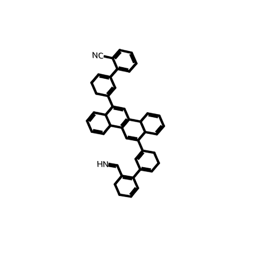 N#Cc1ccccc1C1=CCCC(C2=CC3=C(C=C(C4=CC(C5=C(C=N)CCC=C5)=CCC4)C4C=CC=CC34)C3C=CC=CC23)=C1